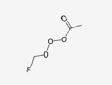 CC(=O)OOOCF